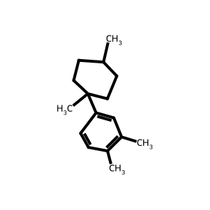 Cc1ccc(C2(C)CCC(C)CC2)cc1C